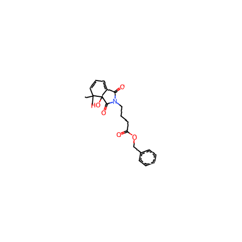 CC1(C)C=CC=C2C(=O)N(CCCC(=O)OCc3ccccc3)C(=O)C21O